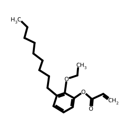 C=CC(=O)Oc1cccc(CCCCCCCCC)c1OCC